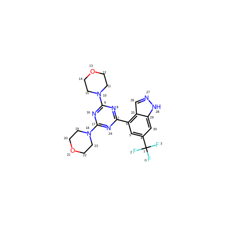 FC(F)(F)c1cc(-c2nc(N3CCOCC3)nc(N3CCOCC3)n2)c2cn[nH]c2c1